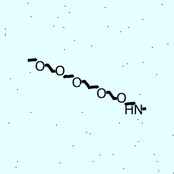 CCOCCOCCOCCCOCCOCCNC